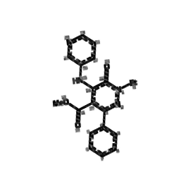 CCn1nc(-c2ccccc2)c(C(=O)OC)c(Nc2cccnc2)c1=O